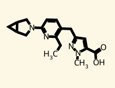 CCc1nc(N2CC3CC3C2)ccc1Cc1cc(C(=O)O)n(C)n1